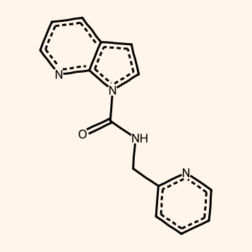 O=C(NCc1ccccn1)n1ccc2cccnc21